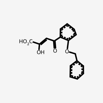 O=C(O)C(O)=CC(=O)c1ccccc1OCc1ccccc1